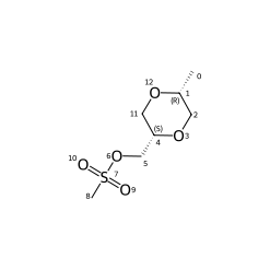 C[C@@H]1CO[C@H](COS(C)(=O)=O)CO1